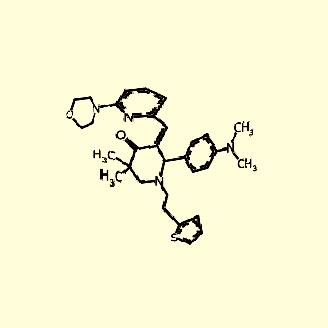 CN(C)c1ccc(C2C(=Cc3cccc(N4CCOCC4)n3)C(=O)C(C)(C)CN2CCc2cccs2)cc1